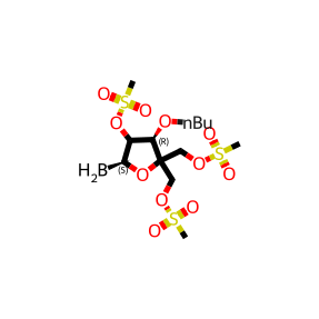 B[C@@H]1OC(COS(C)(=O)=O)(COS(C)(=O)=O)[C@H](OCCCC)C1OS(C)(=O)=O